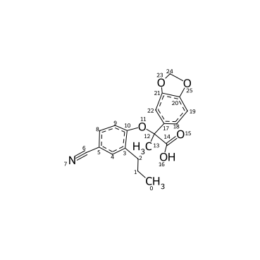 CCCc1cc(C#N)ccc1OC(C)(C(=O)O)c1ccc2c(c1)OCO2